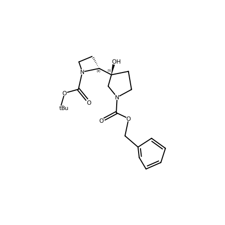 CC(C)(C)OC(=O)N1CC[C@@H]1[C@]1(O)CCN(C(=O)OCc2ccccc2)C1